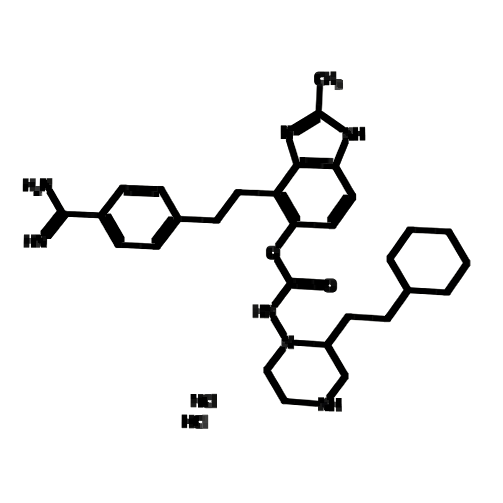 Cc1nc2c(CCc3ccc(C(=N)N)cc3)c(OC(=O)NN3CCNCC3CCC3CCCCC3)ccc2[nH]1.Cl.Cl